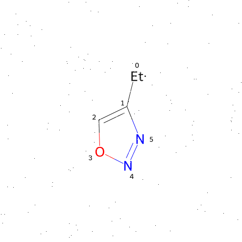 C[CH]c1conn1